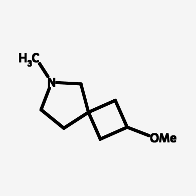 COC1CC2(CCN(C)C2)C1